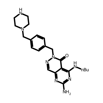 CCCCNc1nc(N)nc2cnn(Cc3ccc(CN4CCNCC4)cc3)c(=O)c12